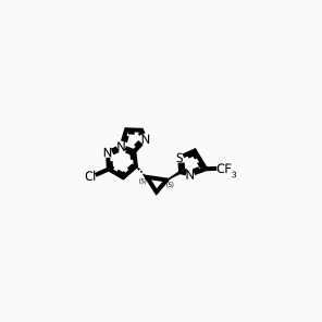 FC(F)(F)c1csc([C@H]2C[C@@H]2c2cc(Cl)nn3ccnc23)n1